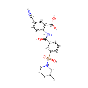 CC1CCCN(S(=O)(=O)c2cccc(C(=O)Nc3ccc(C#N)cc3C(=O)O)c2)C1